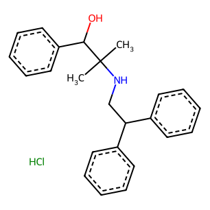 CC(C)(NCC(c1ccccc1)c1ccccc1)C(O)c1ccccc1.Cl